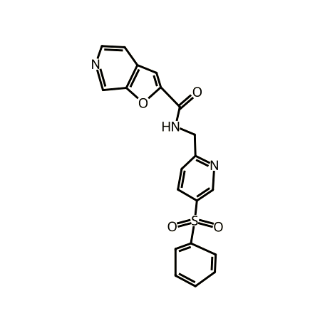 O=C(NCc1ccc(S(=O)(=O)c2ccccc2)cn1)c1cc2ccncc2o1